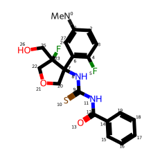 CNc1ccc(F)c(C2(NC(=S)NC(=O)c3ccccc3)COCC2(F)CO)c1